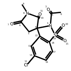 CC(=O)N1C2(CC(=O)N(C)C2=O)c2cc(Cl)ccc2S1(=O)=O